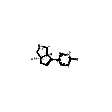 Fc1ccc(C2=CC[C@H]3CNC[C@@H]23)cn1